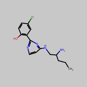 CCCC(N)CNc1ccnc(-c2cc(Cl)ccc2O)n1